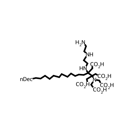 CCCCCCCCCCCCCCCCCCCCCCC(CC(=O)O)(NCCNCCN)C(CC(=O)O)(CC(=O)O)N(CC(=O)O)CC(=O)O